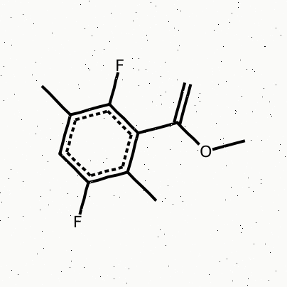 C=C(OC)c1c(C)c(F)cc(C)c1F